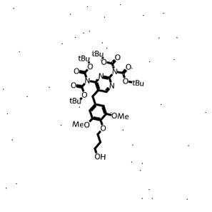 COc1cc(Cc2cnc(N(C(=O)OC(C)(C)C)C(=O)OC(C)(C)C)nc2N(C(=O)OC(C)(C)C)C(=O)OC(C)(C)C)cc(OC)c1OCCCO